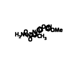 COc1ccc(OC2CCN(c3nc4c(cc3C)C(=O)N(CC(N)=O)C4)CC2)cn1